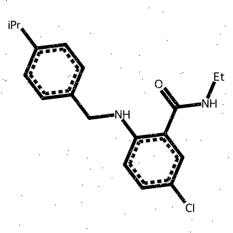 CCNC(=O)c1cc(Cl)ccc1NCc1ccc(C(C)C)cc1